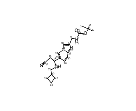 CC(C)(C)OC(=O)NCc1cn2cc(C(CC#N)NCC3CCC3)ccc2n1